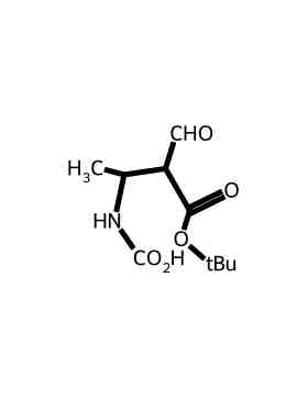 CC(NC(=O)O)C(C=O)C(=O)OC(C)(C)C